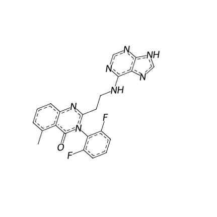 Cc1cccc2nc(CCNc3ncnc4[nH]cnc34)n(-c3c(F)cccc3F)c(=O)c12